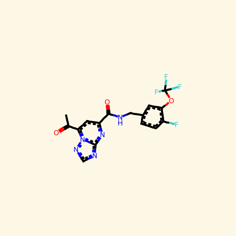 CC(=O)c1cc(C(=O)NCc2ccc(F)c(OC(F)(F)F)c2)nc2ncnn12